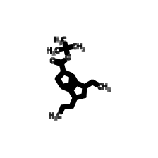 CCCC1CC(CC)C2C3CC(CC3C(=O)OC(C)(C)C)C12